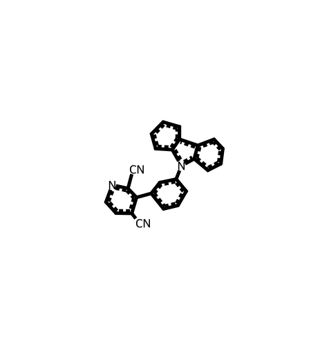 N#Cc1ccnc(C#N)c1-c1cccc(-n2c3ccccc3c3ccccc32)c1